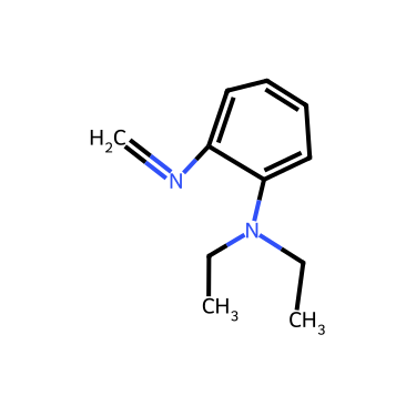 C=Nc1ccccc1N(CC)CC